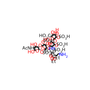 CC(=O)N[C@@H]1[C@@H](O)[C@H](O[C@@H]2O[C@H](C(=O)O)[C@@H](O[C@@H]3O[C@H](CO)[C@@H](O[C@H]4O[C@@H](C(=O)O)[C@H](O)[C@@H](O)[C@@H]4OS(=O)(=O)O)[C@H](OS(=O)(=O)O)[C@H]3NS(=O)(=O)O)[C@H](O)[C@H]2OS(=O)(=O)O)[C@H](COS(=O)(=O)O)O[C@H]1O.CCO[Si](CCCN)(OCC)OCC